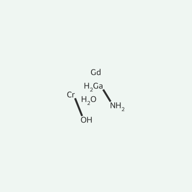 O.[Gd].[NH2][GaH2].[OH][Cr]